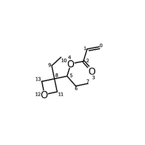 C=CC(=O)OC(CC)C1(CC)COC1